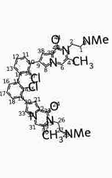 CNCCn1c(C)cn2cc(-c3cccc(-c4cccc(-c5cc6c(=O)n(CCNC)c(C)cn6c5)c4Cl)c3Cl)cc2c1=O